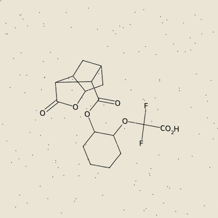 O=C(OC1CCCCC1OC(F)(F)C(=O)O)C1C2CC3OC(=O)C1C3C2